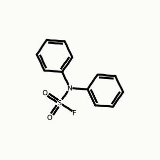 O=S(=O)(F)N(c1ccccc1)c1ccccc1